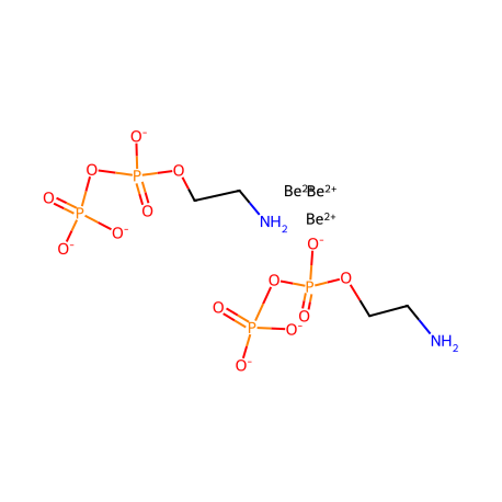 NCCOP(=O)([O-])OP(=O)([O-])[O-].NCCOP(=O)([O-])OP(=O)([O-])[O-].[Be+2].[Be+2].[Be+2]